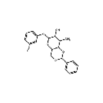 NC1C(O)C(Sc2cccc(Cl)c2)OC2COC(c3ccccc3)OC21